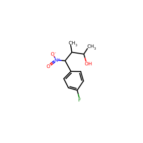 CC(O)C(C)C(c1ccc(F)cc1)[N+](=O)[O-]